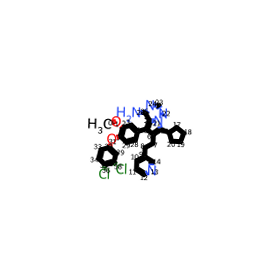 COc1cc(-c2c(CCc3cccnc3)c(C3CCCC3)n3ncnc(N)c23)ccc1Oc1ccc(Cl)c(Cl)c1